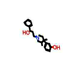 CC1CN(CC[C@H](O)c2ccccc2)CCC1(C)c1cccc(O)c1